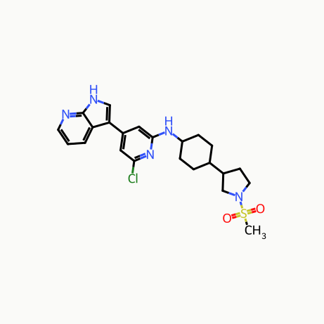 CS(=O)(=O)N1CCC(C2CCC(Nc3cc(-c4c[nH]c5ncccc45)cc(Cl)n3)CC2)C1